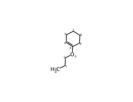 CCCOC1=CCCCC1